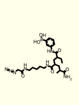 CCC(CC(CC(C)C(N)=O)C(=O)NCCCCCNC(=O)CN=[N+]=[N-])C(=O)Nc1cccc(B(O)O)c1